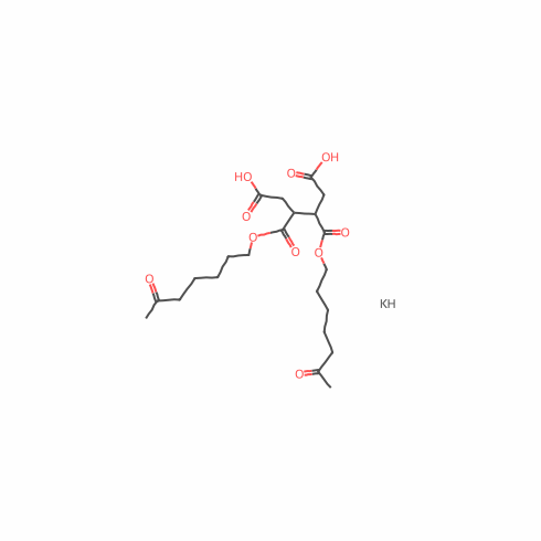 CC(=O)CCCCCOC(=O)C(CC(=O)O)C(CC(=O)O)C(=O)OCCCCCC(C)=O.[KH]